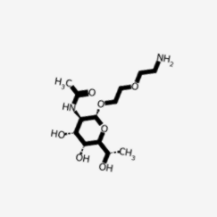 CC(=O)N[C@H]1[C@H](OCCOCCN)OC([C@H](C)O)[C@H](O)[C@@H]1O